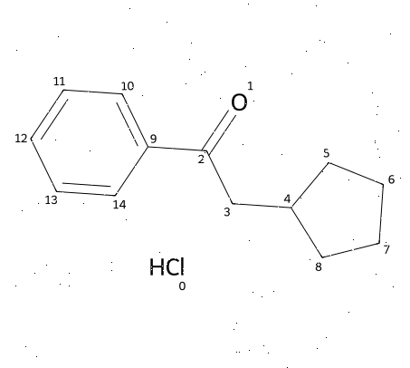 Cl.O=C(CC1CCCC1)c1ccccc1